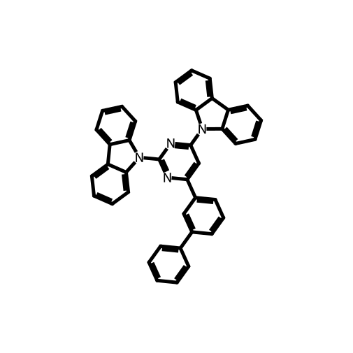 c1ccc(-c2cccc(-c3cc(-n4c5ccccc5c5ccccc54)nc(-n4c5ccccc5c5ccccc54)n3)c2)cc1